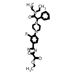 CCOC(=O)c1nc(-c2ccc(N3CCN(C(C(=O)N(CC)CC)c4ccccc4)CC3)c(F)c2)no1